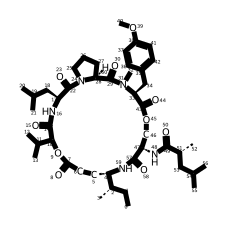 CC[C@H](C)[C@@H]1CCC(=O)OC(C(C)C)C(=O)N[C@@H](CC(C)C)C(=O)N2CCC[C@H]2C(=O)N(C)[C@@H](Cc2ccc(OC)cc2)C(=O)OC[C@H](NC(=O)[C@H](C)CC(C)C)C(=O)N1